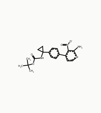 CC(C)(C)OC(=O)NC1(c2ccc(-c3ccnc(N)c3[N+](=O)[O-])cc2)CC1